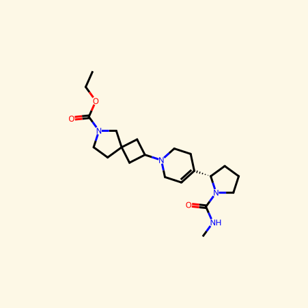 CCOC(=O)N1CCC2(CC(N3CC=C([C@@H]4CCCN4C(=O)NC)CC3)C2)C1